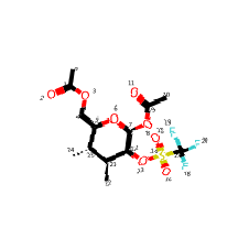 CC(=O)OCC1O[C@@H](OC(C)=O)C(OS(=O)(=O)C(F)(F)F)[C@@H](C)[C@@H]1C